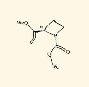 COC(=O)[C@H]1CCN1C(=O)OC(C)(C)C